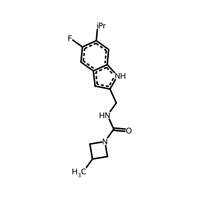 CC1CN(C(=O)NCc2cc3cc(F)c(C(C)C)cc3[nH]2)C1